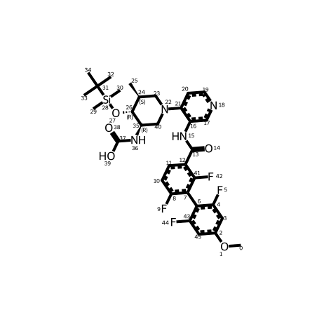 COc1cc(F)c(-c2c(F)ccc(C(=O)Nc3cnccc3N3C[C@H](C)[C@@H](O[Si](C)(C)C(C)(C)C)[C@H](NC(=O)O)C3)c2F)c(F)c1